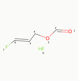 F.O=COCC=CF